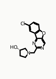 O[C@H]1CCN(Cc2ncc3oc4ccc(Cl)cc4c3n2)C1